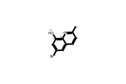 Cc1ccc2cc(Br)cc(O)c2n1